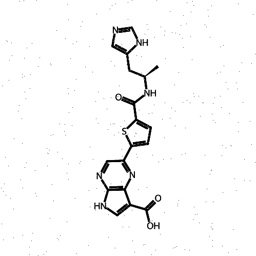 C[C@H](Cc1cnc[nH]1)NC(=O)c1ccc(-c2cnc3[nH]cc(C(=O)O)c3n2)s1